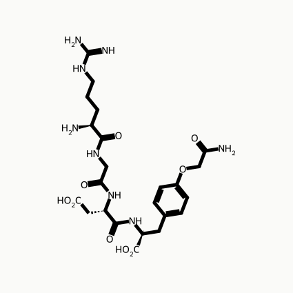 N=C(N)NCCC[C@H](N)C(=O)NCC(=O)N[C@@H](CC(=O)O)C(=O)N[C@@H](Cc1ccc(OCC(N)=O)cc1)C(=O)O